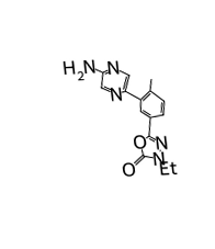 CCn1nc(-c2ccc(C)c(-c3cnc(N)cn3)c2)oc1=O